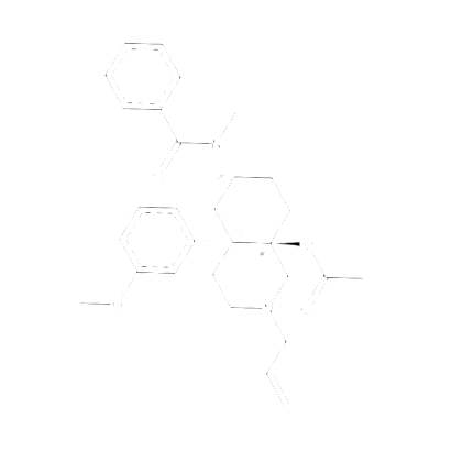 C=CCN1CC[C@@]2(c3cccc(OC)c3)C[C@H](N(C)C(=O)c3ccccc3)CC[C@]2(OC(C)=O)C1